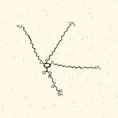 CCCCCCCCCCCCCCCCCCOc1cc(C(=O)OOCCOC(=O)CCC(=O)O)cc(OCCCCCCCCCCCCCCCCCC)c1OCCCCCCCCCCCCCCCCCC